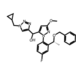 COc1cc(C(O)c2cn(CC3CC3)nn2)n(-c2ccc(F)cc2[C@@H](C)OCc2ccccc2)n1